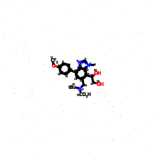 Cn1cnc2c(-c3ccc(OC(F)(F)F)cc3)cc(CN(C(=O)O)C(C)(C)C)c(C(O)CO)c21